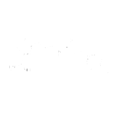 N=C(N)c1cccc(OCCNC(=O)CCc2ccc(Cl)cc2)c1